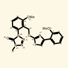 COc1ccccc1-c1csc(OCc2c(OC)cccc2-n2nnn(C)c2=O)n1